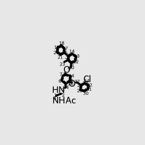 CC(=O)NCCNCc1ccc(OCc2cccc(-c3ccccc3)c2C)cc1OCc1ccccc1Cl